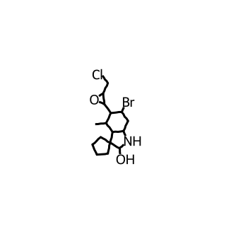 CC1C(C2OC2CCl)C(Br)CC2NC(O)C3(CCCC3)C21